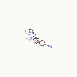 N#Cc1ccc(OC[C@@H](N)CN2C3CCC2CN(Cc2ccccc2)C3)cc1